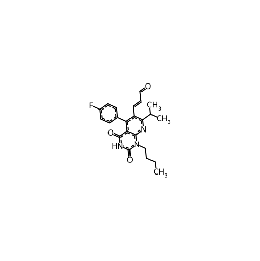 CCCCn1c(=O)[nH]c(=O)c2c(-c3ccc(F)cc3)c(C=CC=O)c(C(C)C)nc21